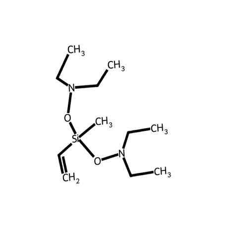 C=C[Si](C)(ON(CC)CC)ON(CC)CC